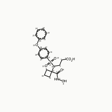 O=C(O)CCN(C1(C(=O)NO)CCC1)S(=O)(=O)c1ccc(Oc2ccccc2)cc1